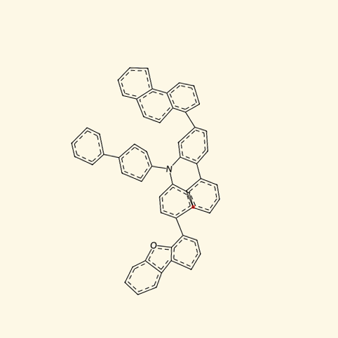 c1ccc(-c2ccc(N(c3ccc(-c4cccc5c4oc4ccccc45)cc3)c3cc(-c4cccc5c4ccc4ccccc45)ccc3-c3ccccc3)cc2)cc1